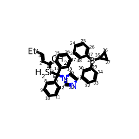 C=C(C=CCC)[SiH2]C(c1ccccc1)(c1ccccc1)n1ccnc1.c1ccc(B(c2ccccc2)C2CC2)cc1